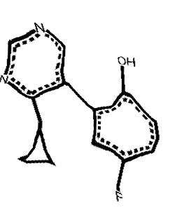 Oc1ccc(F)cc1-c1cncnc1C1CC1